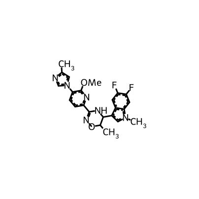 COc1nc(C2=NOC(C)C(c3cn(C)c4cc(F)c(F)cc34)N2)ccc1-n1cnc(C)c1